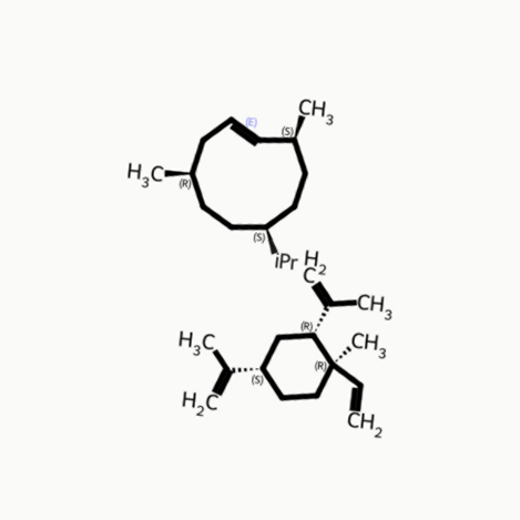 C=C[C@@]1(C)CC[C@H](C(=C)C)C[C@@H]1C(=C)C.CC(C)[C@H]1CC[C@@H](C)C/C=C/[C@@H](C)CC1